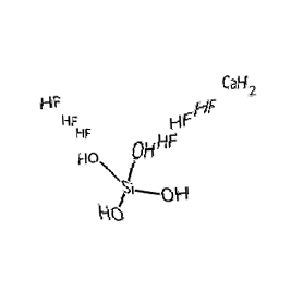 F.F.F.F.F.F.O[Si](O)(O)O.[CaH2]